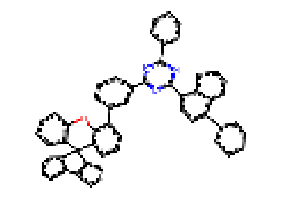 c1ccc(-c2nc(-c3cccc(-c4cccc5c4Oc4ccccc4C54c5ccccc5-c5ccccc54)c3)nc(-c3ccc(-c4ccccc4)c4ccccc34)n2)cc1